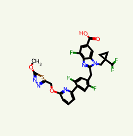 COc1nnc(COc2cccc(-c3cc(F)c(Cc4nc5c(F)cc(C(=O)O)cc5n4CC4(C(F)F)CC4)cc3F)n2)s1